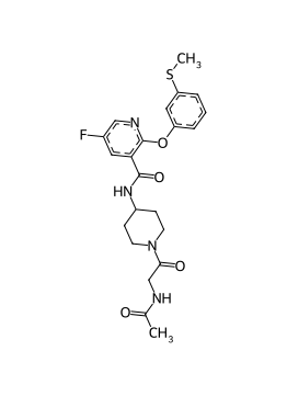 CSc1cccc(Oc2ncc(F)cc2C(=O)NC2CCN(C(=O)CNC(C)=O)CC2)c1